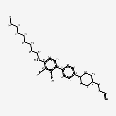 C=CCCC1CCC(c2ccc(-c3ccc(OCCCCCCCCC)c(F)c3F)cc2)CC1